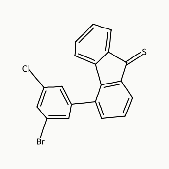 S=C1c2ccccc2-c2c1cccc2-c1cc(Cl)cc(Br)c1